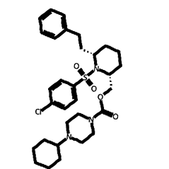 O=C(OC[C@H]1CCC[C@@H](CCc2ccccc2)N1S(=O)(=O)c1ccc(Cl)cc1)N1CCN(C2CCCCC2)CC1